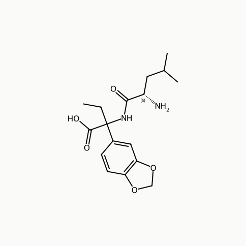 CCC(NC(=O)[C@@H](N)CC(C)C)(C(=O)O)c1ccc2c(c1)OCO2